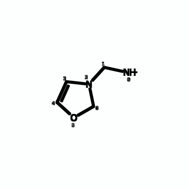 [NH]CN1C=COC1